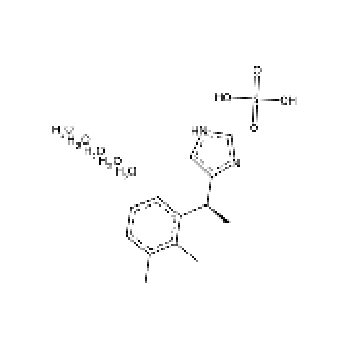 Cc1cccc([C@H](C)c2c[nH]cn2)c1C.O.O.O.O.O.O=S(=O)(O)O